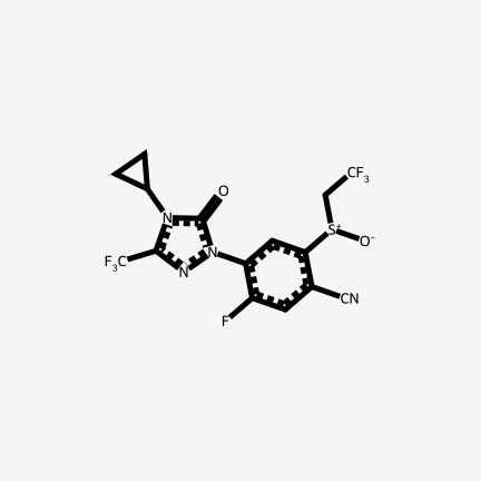 N#Cc1cc(F)c(-n2nc(C(F)(F)F)n(C3CC3)c2=O)cc1[S+]([O-])CC(F)(F)F